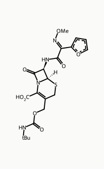 CON=C(C(=O)N[C@@H]1C(=O)N2C(C(=O)O)=C(COC(=O)NC(C)(C)C)CS[C@H]12)c1ccco1